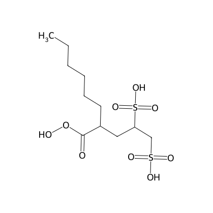 CCCCCCC(CC(CS(=O)(=O)O)S(=O)(=O)O)C(=O)OO